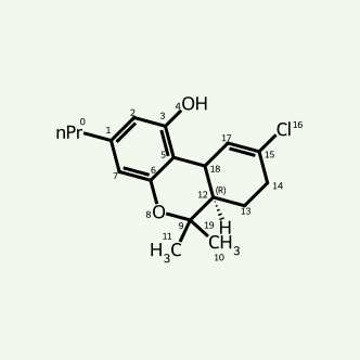 CCCc1cc(O)c2c(c1)OC(C)(C)[C@@H]1CCC(Cl)=CC21